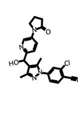 Cc1nn(-c2ccc(C#N)c(Cl)c2)c(C)c1C(O)c1ccc(N2CCCC2=O)cn1